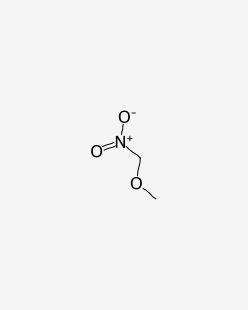 COC[N+](=O)[O-]